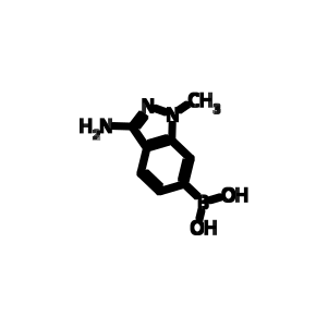 Cn1nc(N)c2ccc(B(O)O)cc21